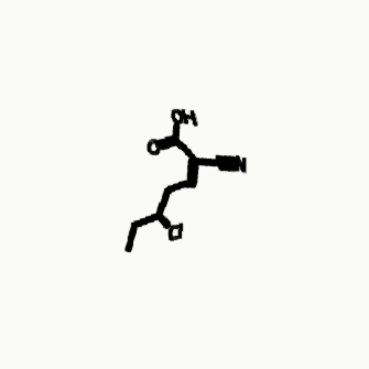 CCC(Cl)CC=C(C#N)C(=O)O